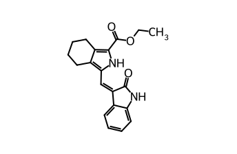 CCOC(=O)c1[nH]c(/C=C2\C(=O)Nc3ccccc32)c2c1CCCC2